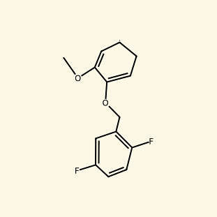 COC1=C[CH]CC=C1OCc1cc(F)ccc1F